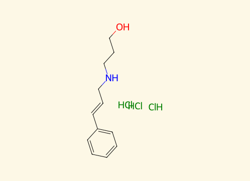 Cl.Cl.Cl.OCCCNC/C=C/c1ccccc1